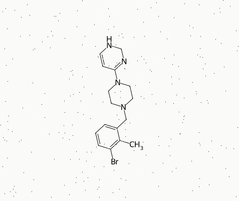 Cc1c(Br)cccc1CN1CCN(C2=NCNC=C2)CC1